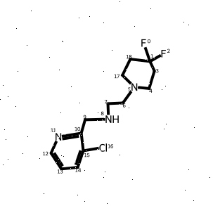 FC1(F)CCN(CCNCc2ncccc2Cl)CC1